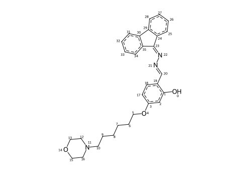 Oc1cc(OCCCCCCN2CCOCC2)ccc1/C=N/N=C1c2ccccc2-c2ccccc21